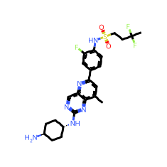 Cc1cc(-c2ccc(NS(=O)(=O)CCC(C)(F)F)c(F)c2)nc2cnc(N[C@H]3CC[C@H](N)CC3)nc12